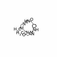 CCC1CC2CN(CCNC(=O)c3ccc(cc3)Nc3ncc4c(n3)N1C(=O)C4)CCN2C